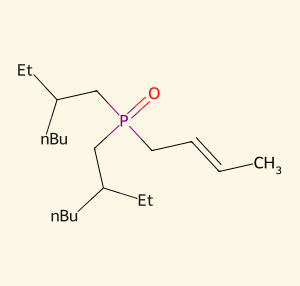 CC=CCP(=O)(CC(CC)CCCC)CC(CC)CCCC